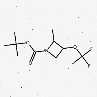 CC1C(OC(F)(F)F)CN1C(=O)OC(C)(C)C